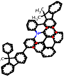 CC1(C)c2ccccc2-c2cccc(-c3ccccc3N(c3ccc(-c4ccc5c(c4)C(C)(c4ccccc4)c4ccccc4-5)cc3)c3ccccc3-c3cccc4cccc(-c5ccccc5)c34)c21